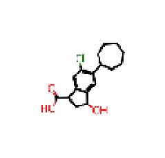 O=C(O)C1CC(O)c2cc(C3CCCCCC3)c(Cl)cc21